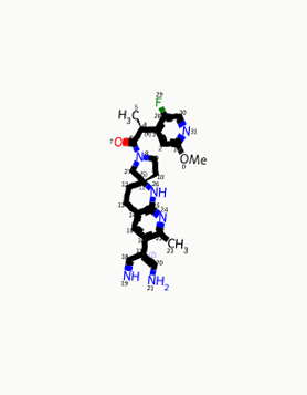 COc1cc([C@@H](C)C(=O)N2CC[C@@]3(CCc4cc(/C(C=N)=C/N)c(C)nc4N3)C2)c(F)cn1